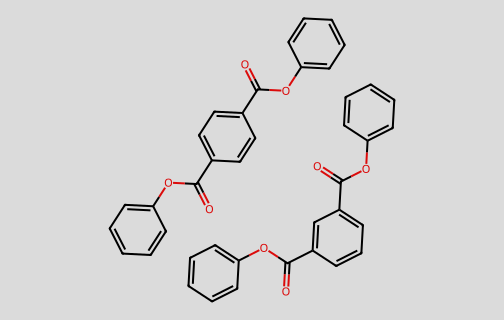 O=C(Oc1ccccc1)c1ccc(C(=O)Oc2ccccc2)cc1.O=C(Oc1ccccc1)c1cccc(C(=O)Oc2ccccc2)c1